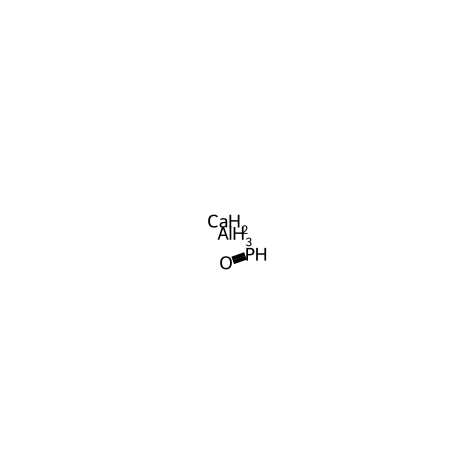 O=P.[AlH3].[CaH2]